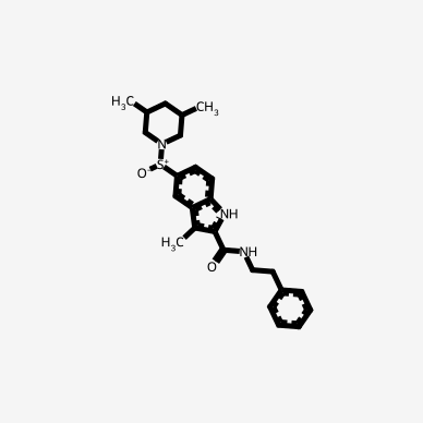 Cc1c(C(=O)NCCc2ccccc2)[nH]c2ccc([S+]([O-])N3CC(C)CC(C)C3)cc12